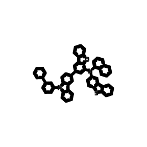 c1ccc(-c2cccc(-n3c4ccccc4c4cc(-c5cc(N(c6ccc7sc8ccccc8c7c6)c6cccc7ccccc67)c6oc7ccccc7c6c5)ccc43)c2)cc1